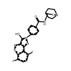 O=C(NC1CN2CCC1CC2)c1ccc(-n2nc3c(nnc4c(F)ccc(F)c43)c2O)cc1